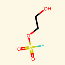 O=S(=O)(F)OCCO